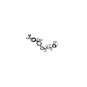 O=C(CNC(=O)c1cccc(C(F)(F)F)c1)N[C@@H]1CCN(C2CCC(O)(c3ccc(NC4CC4)nc3)CC2)C1